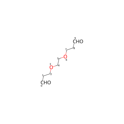 O=CCCOCCOCCC=O